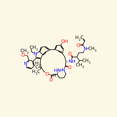 C=CC(=O)N(C)CCC(C(=O)N[C@H]1Cc2cc(O)cc(c2)-c2ccc3c(c2)c(c(-c2cccnc2COC)n3CC)CC(C)(C)COC(=O)[C@@H]2CCCN(N2)C1=O)C(C)C